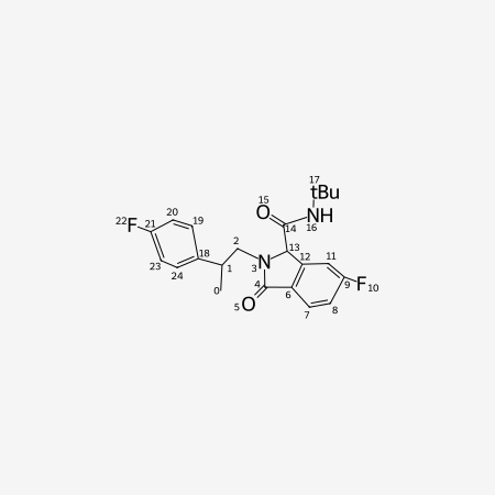 CC(CN1C(=O)c2ccc(F)cc2C1C(=O)NC(C)(C)C)c1ccc(F)cc1